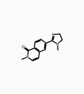 CN1CCN=C1c1ccc2c(=O)n(C)ccc2c1